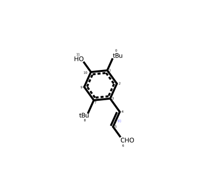 CC(C)(C)c1cc(/C=C/C=O)c(C(C)(C)C)cc1O